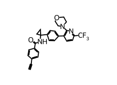 C#Cc1ccc(C(=O)NC2(c3ccc(-c4ccc(C(F)(F)F)nc4N4CCOCC4)cc3)CC2)cc1